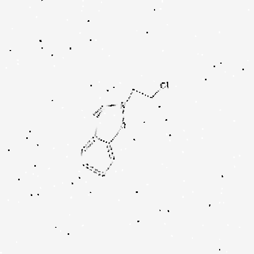 OCCN1C=Cc2ccccc2O1